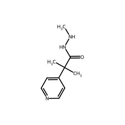 CNNC(=O)C(C)(C)c1ccncc1